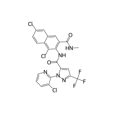 CNC(=O)c1cc2cc(Cl)ccc2c(Cl)c1NC(=O)c1cc(C(F)(F)F)nn1-c1ncccc1Cl